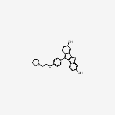 Oc1ccc2c3c(sc2c1)C1=CC(O)CCC1=C3c1ccc(OCCN2CCCC2)cc1